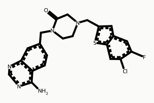 Nc1ncnc2cc(CN3CCN(Cc4cc5cc(F)c(Cl)cc5s4)CC3=O)ccc12